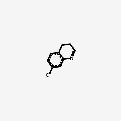 Clc1ccc2c(c1)N=CCC2